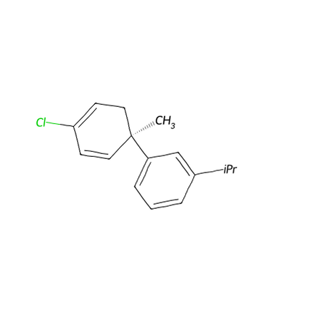 CC(C)c1cccc([C@@]2(C)C=CC(Cl)=CC2)c1